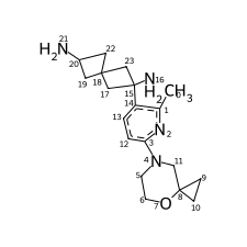 Cc1nc(N2CCOC3(CC3)C2)ccc1C1(N)CC2(CC(N)C2)C1